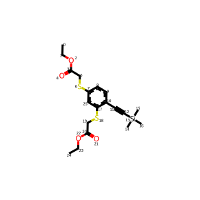 CCOC(=O)CSc1ccc(C#C[Si](C)(C)C)c(SCC(=O)OCC)c1